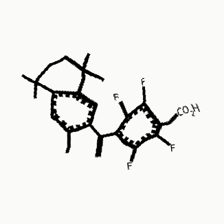 C=C(c1cc2c(cc1C)C(C)(C)CCC2(C)C)c1c(F)c(F)c(C(=O)O)c(F)c1F